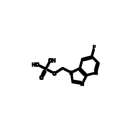 O=P(O)(O)OCn1cnc2ncc(F)cc21